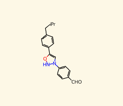 CC(C)Cc1ccc(C2=CN(c3ccc(C=O)cc3)NO2)cc1